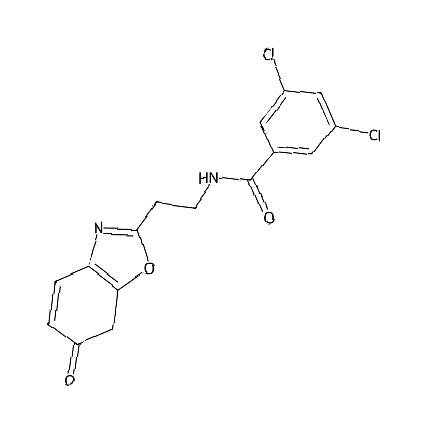 O=C1C=Cc2nc(CCNC(=O)c3cc(Cl)cc(Cl)c3)oc2C1